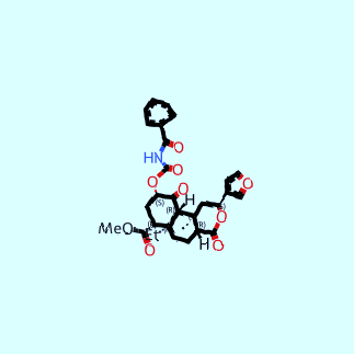 CC[C@@]12CC[C@H]3C(=O)O[C@H](c4ccoc4)C[C@]3(C)[C@H]1C(=O)[C@@H](OC(=O)NC(=O)c1ccccc1)C[C@H]2C(=O)OC